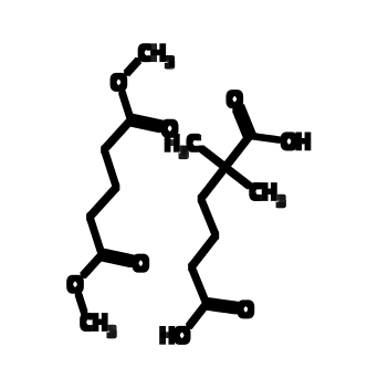 CC(C)(CCCC(=O)O)C(=O)O.COC(=O)CCCC(=O)OC